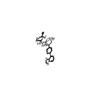 C#Cc1nsc(NC(=O)NC(CO)c2ccc(-c3cccc4ncsc34)cc2)n1